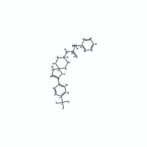 CC(C)(C)c1ccc(C2=NOC3(CCN(OC(=S)Nc4ccccc4)CC3)C2)cc1